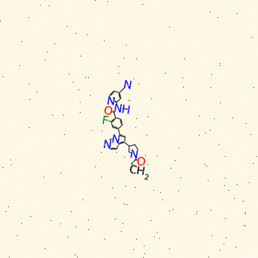 C=CC(=O)N1CCC(c2cc(-c3ccc(C(=O)Nc4cc(C#N)ccn4)c(F)c3)n3cnccc23)C1